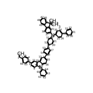 C=Cc1ccc(-c2ccc3c(c2)c2cc(-c4ccc(-c5ccc(N(c6ccc(-c7ccccc7)cc6)c6ccc7c(c6)C(C)(C)c6ccccc6-7)cc5)cc4)ccc2n3-c2ccccc2)cc1